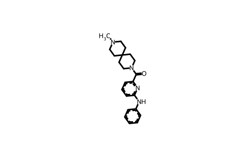 CN1CCC2(CC1)CCN(C(=O)c1cccc(Nc3ccccc3)n1)CC2